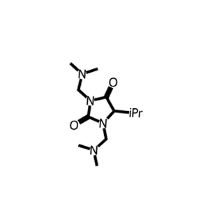 CC(C)C1C(=O)N(CN(C)C)C(=O)N1CN(C)C